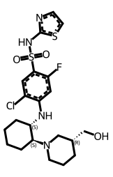 O=S(=O)(Nc1nccs1)c1cc(Cl)c(N[C@H]2CCCC[C@@H]2N2CCC[C@@H](CO)C2)cc1F